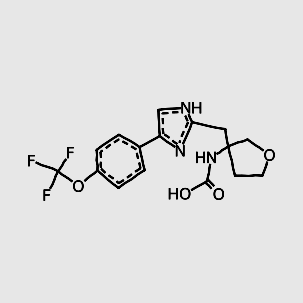 O=C(O)NC1(Cc2nc(-c3ccc(OC(F)(F)F)cc3)c[nH]2)CCOC1